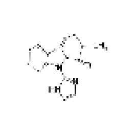 CC1CC=C2c3ccccc3N(c3ncc[nH]3)C2C1=O